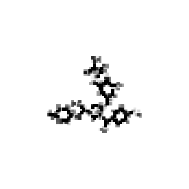 CSc1ccc(C(=O)[C@H]2CN(C(O)Oc3ccc(C)nc3)C[C@@H]2Cc2cc(C)c(OC(C)(C)C(=O)O)c(C)c2)cc1